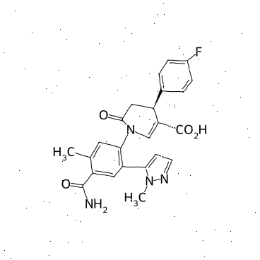 Cc1cc(N2C=C(C(=O)O)[C@H](c3ccc(F)cc3)CC2=O)c(-c2ccnn2C)cc1C(N)=O